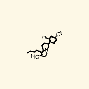 CCCCC1C(O)CCN2CC(c3ccc(Cl)cc3Cl)CCC12